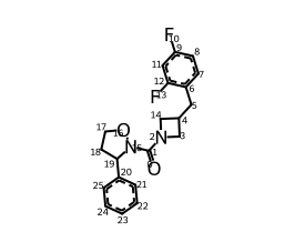 O=C(N1CC(Cc2ccc(F)cc2F)C1)N1OCCC1c1ccccc1